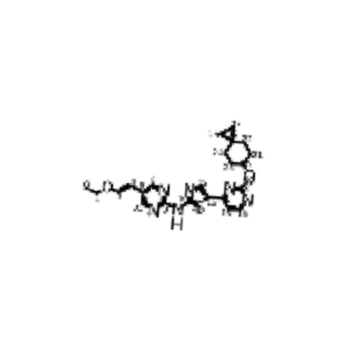 CCO/C=C/c1cnc(Nc2ncc(-c3ccnc(OC4CCC5(CC4)CC5)n3)s2)nc1